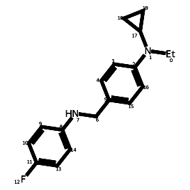 CCN(c1ccc(CNc2ccc(F)cc2)cc1)C1CC1